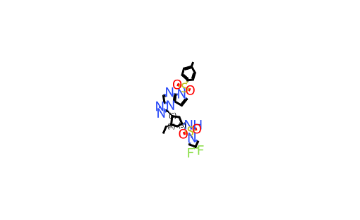 CC[C@@H]1C[C@H](NS(=O)(=O)N2CC(F)(F)C2)C[C@@H]1c1nnc2cnc3c(ccn3S(=O)(=O)c3ccc(C)cc3)n12